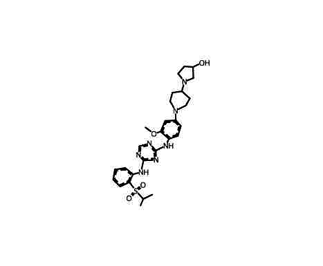 COc1cc(N2CCC(N3CCC(O)C3)CC2)ccc1Nc1ncnc(Nc2ccccc2S(=O)(=O)C(C)C)n1